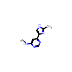 CCCNc1cc(-c2c[nH]c(C)n2)ncn1